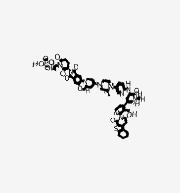 [2H]C([2H])([2H])n1cc(-c2ccnc(N3CCc4c(sc5c4CCCC5)C3=O)c2CO)cc(Nc2ccc(N3CCN([C@@H]4CCN5c6cc7c(cc6OC[C@H]5C4)C(=O)N([C@H]4CCC(=O)N(C(C)OP(=O)(O)O)C4=O)C7=O)C[C@@H]3C)cn2)c1=O